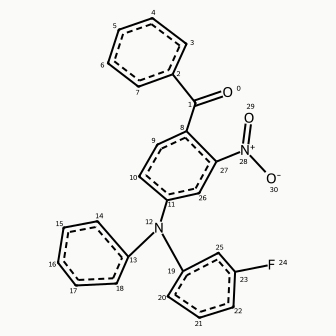 O=C(c1ccccc1)c1ccc(N(c2ccccc2)c2cccc(F)c2)cc1[N+](=O)[O-]